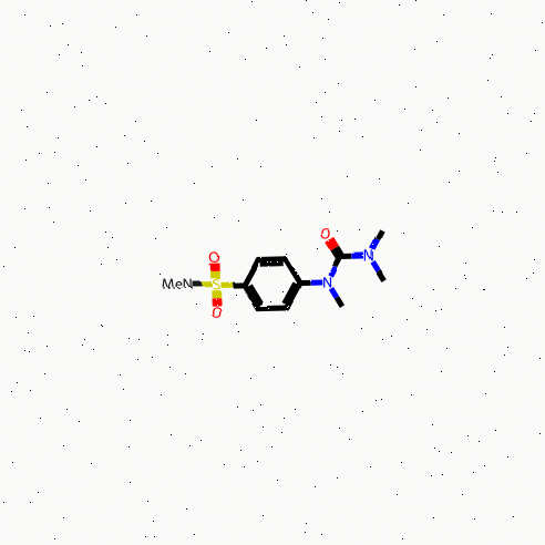 CNS(=O)(=O)c1ccc(N(C)C(=O)N(C)C)cc1